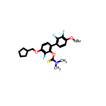 CCCCOc1ccc(-c2ccc(OCC3CCCC3)c(F)c2OC(=S)N(C)C)c(F)c1F